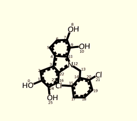 Oc1cc2c3ccc(O)c(O)c3n(Cc3c(Cl)cccc3Cl)c2cc1O